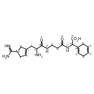 N=C(N)N1CC=C(CC(N)C(=O)NCCC(=O)NC(C(=O)O)C2=CCC=CC2)C1